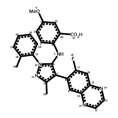 COc1ccc(Nc2c(-c3cc4nccnc4cc3F)c(C)nn2-c2ccccc2C)c(C(=O)O)c1